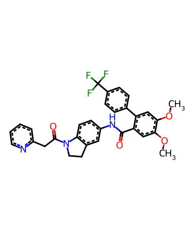 COc1cc(C(=O)Nc2ccc3c(c2)CCN3C(=O)Cc2ccccn2)c(-c2ccc(C(F)(F)F)cc2)cc1OC